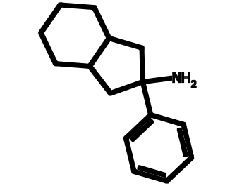 NC1(c2ccccc2)CC2CCCCC2C1